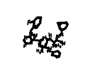 N#CC(/N=N/c1ccccc1)C(N)Nc1nc(-c2nn(Cc3ccccc3F)c3ncc(F)cc23)nc(N)c1/N=N/c1ccccc1